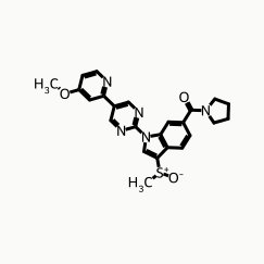 COc1ccnc(-c2cnc(-n3cc([S+](C)[O-])c4ccc(C(=O)N5CCCC5)cc43)nc2)c1